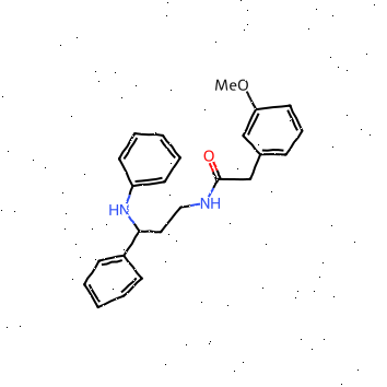 COc1cccc(CC(=O)NCCC(Nc2ccccc2)c2ccccc2)c1